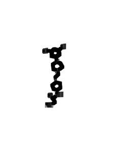 N#CCC(=O)N[C@H]1CC[C@H](CCN2CCN(c3cc(Cl)cc(Cl)c3)CC2)CC1